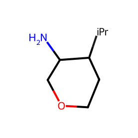 CC(C)C1CCOCC1N